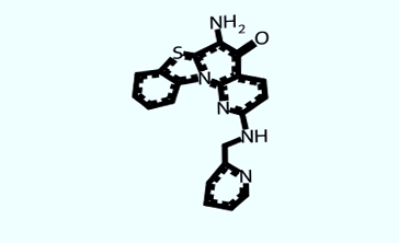 Nc1c(=O)c2ccc(NCc3ccccn3)nc2n2c1sc1ccccc12